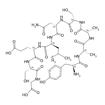 CC(C)C[C@H](NC(=O)[C@H](CC(N)=O)NC(=O)[C@H](CO)NC(=O)[C@H](C)NC(=O)[C@H](C)NC(=O)[C@@H](N)Cc1ccc(O)cc1)C(=O)N[C@@H](CCC(=O)O)C(=O)N[C@@H](CO)C(=O)NCC(=O)O